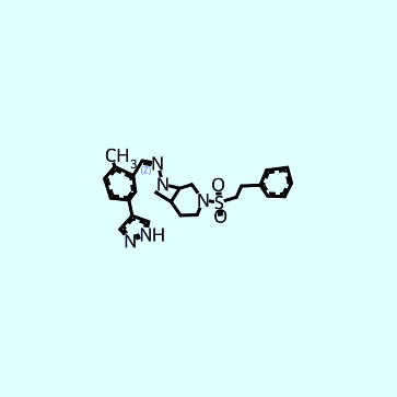 Cc1ccc(-c2cn[nH]c2)cc1/C=N\N1CC2CCN(S(=O)(=O)CCc3ccccc3)CC21